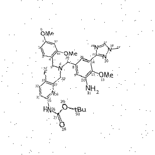 COc1ccc(CN(Cc2cc(N)c(OC)c(-c3ncn(C)n3)c2)Cc2nc(NC(=O)OC(C)(C)C)ccc2F)c(OC)c1